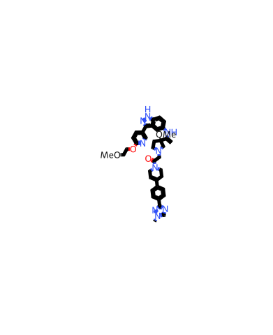 C=C(Nc1ccc2[nH]nc(-c3ccc(OCCOC)nc3)c2c1)[C@]1(OC)CCN(CC(=O)N2CC=C(c3ccc(-c4ncn(C)n4)cc3)CC2)C1